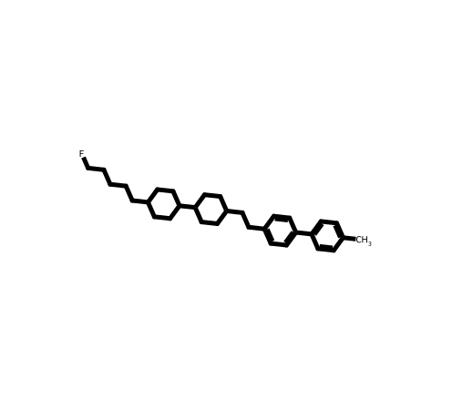 Cc1ccc(-c2ccc(CCC3CCC(C4CCC(CCCCCF)CC4)CC3)cc2)cc1